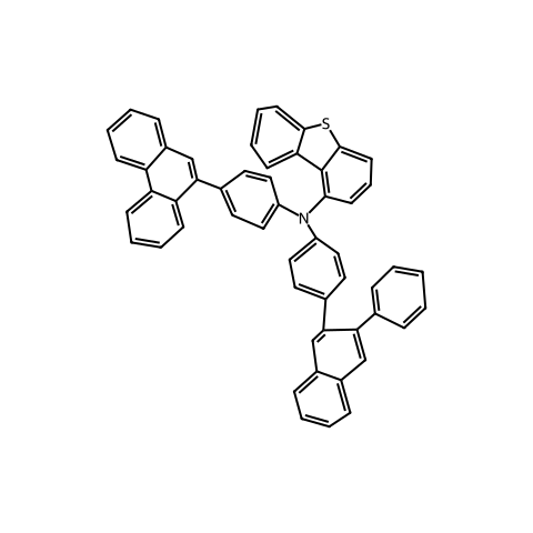 c1ccc(-c2cc3ccccc3cc2-c2ccc(N(c3ccc(-c4cc5ccccc5c5ccccc45)cc3)c3cccc4sc5ccccc5c34)cc2)cc1